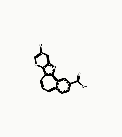 O=C(O)c1ccc2c(c1)=c1sc3c(c1C=CC=2)OC=C(O)C=3